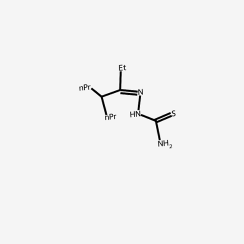 CCCC(CCC)/C(CC)=N\NC(N)=S